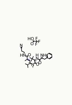 C/C(=C\[C@H](C(C)C)N(C)C(=O)[C@@H](NC(=O)[C@@H](N)Cc1ccccc1)C(C)(C)C)C(=O)NCCC#N.O=C(O)C(F)(F)F